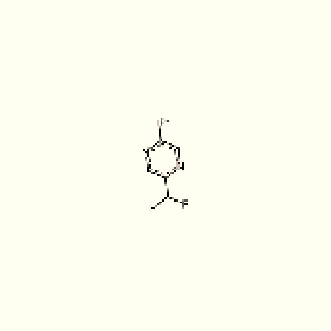 CC(C)c1cnc(C(F)F)cn1